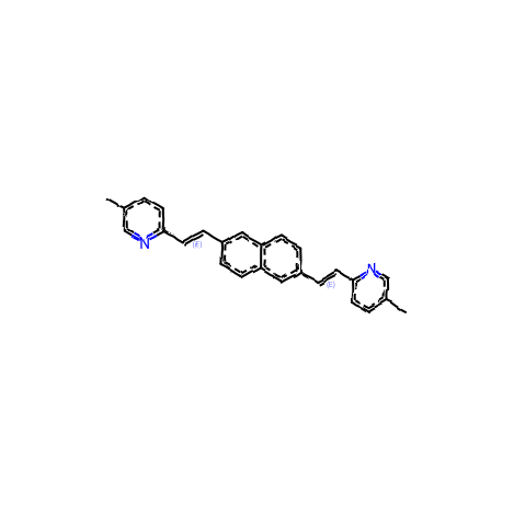 Cc1ccc(/C=C/c2ccc3cc(/C=C/c4ccc(C)cn4)ccc3c2)nc1